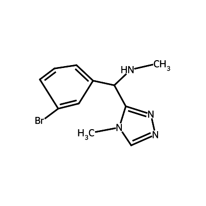 CNC(c1cccc(Br)c1)c1nncn1C